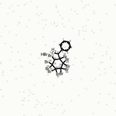 Br.CC(c1ccccc1)C1(Br)C(Br)C(Br)(Br)C(Br)(Br)C(Br)(Br)C1(Br)Br